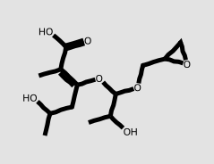 CC(C(=O)O)=C(CC(C)O)OC(OCC1CO1)C(C)O